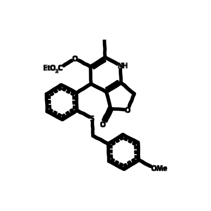 CCOC(=O)OC1=C(C)NC2=C(C(=O)OC2)C1c1ccccc1SCc1ccc(OC)cc1